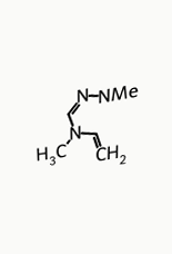 C=CN(C)/C=N\NC